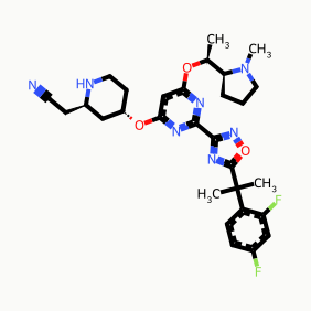 C[C@H](Oc1cc(O[C@H]2CCN[C@H](CC#N)C2)nc(-c2noc(C(C)(C)c3ccc(F)cc3F)n2)n1)[C@@H]1CCCN1C